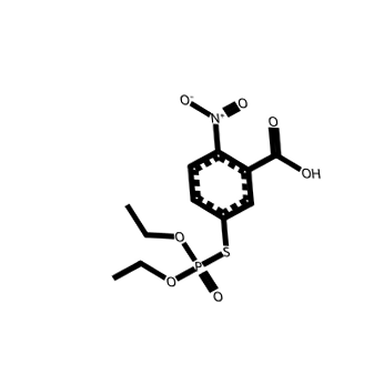 CCOP(=O)(OCC)Sc1ccc([N+](=O)[O-])c(C(=O)O)c1